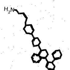 NCC/C=C\CC1C=CC(C2=CCC(C3=c4ccccc4=C(C4=CC=CCC4C4=CCCC=C4)CC3)CC2)CC1